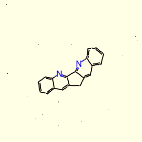 c1ccc2nc3c(cc2c1)Cc1cc2ccccc2nc1-3